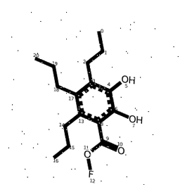 CCCc1c(O)c(O)c(C(=O)OF)c(CCC)c1CCC